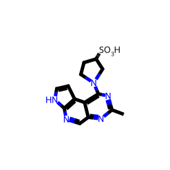 Cc1nc(N2CCC(S(=O)(=O)O)C2)c2c(cnc3[nH]ccc32)n1